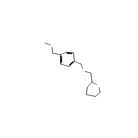 CSNCc1ccc(CNCC2CCCCO2)cc1